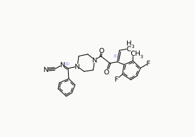 C/C=C(/C(=O)C(=O)N1CCN(/C(=N/C#N)c2ccccc2)CC1)c1c(F)ccc(F)c1C